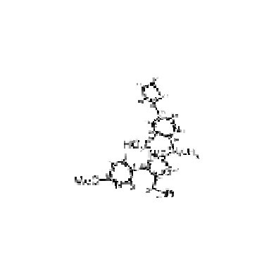 COc1ccc(-c2nc(N(C)c3ncc(-c4cccs4)cc3C(=O)O)sc2CC(C)C)cn1